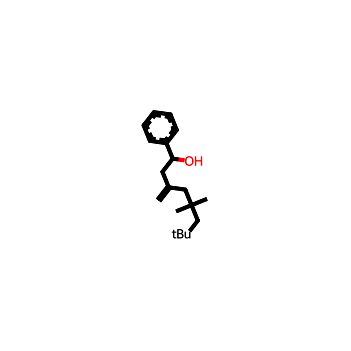 C=C(CC(O)c1ccccc1)CC(C)(C)CC(C)(C)C